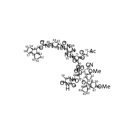 COc1ccc(C(OCC2O[C@@H](n3cc(C)c(=O)[nH]c3=O)C[C@H]2OP(=O)(OCCC#N)OC[C@H]2O[C@@H](n3cnc4c(NC(=O)c5ccc(CNC(=O)OCC6c7ccccc7-c7ccccc76)cc5)ncnc43)C[C@H]2OC(=O)CCC(C)=O)(c2ccccc2)c2ccc(OC)cc2)cc1